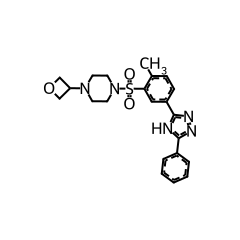 Cc1ccc(-c2nnc(-c3ccccc3)[nH]2)cc1S(=O)(=O)N1CCN(C2COC2)CC1